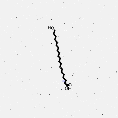 O=C(O)/C=C/CCCCCCCCCCCCCCCCCCO